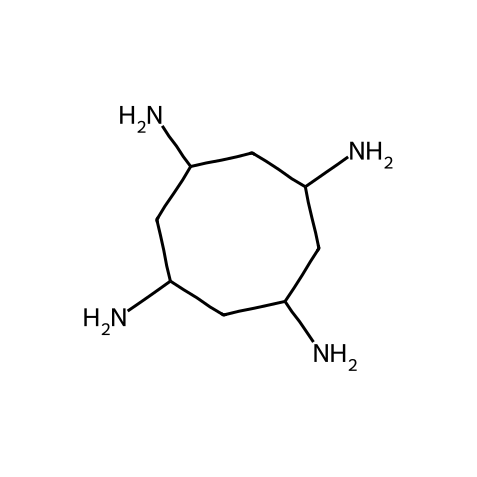 NC1CC(N)CC(N)CC(N)C1